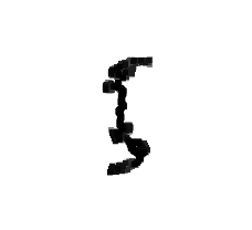 CCCCCONC(=O)CCCCCCC(=O)Nc1cncc(CO)c1